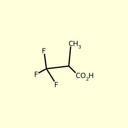 CC(C(=O)O)C(F)(F)F